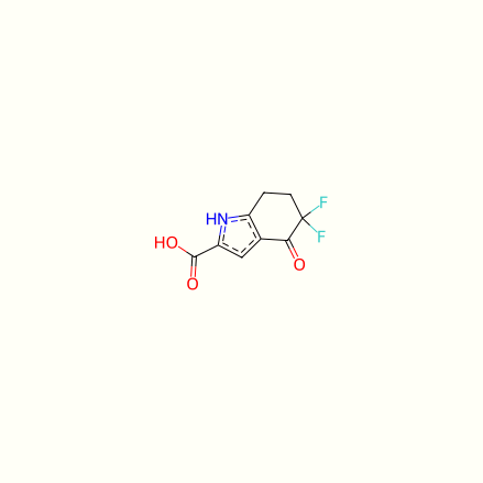 O=C(O)c1cc2c([nH]1)CCC(F)(F)C2=O